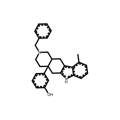 Cc1cccc2[nH]c3c(c12)CC1CN(Cc2ccccc2)CCC1(c1cccc(O)c1)C3